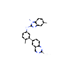 CNc1ncc2cc(-c3cc(Nc4nc5cc(C(F)(F)F)ccc5n4C)ccc3C)ccc2n1